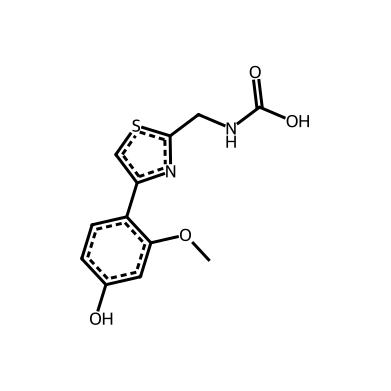 COc1cc(O)ccc1-c1csc(CNC(=O)O)n1